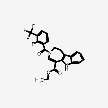 CCOC(=O)C1=CN(C(=O)c2cccc(C(F)(F)F)c2F)CCc2c1[nH]c1ccccc21